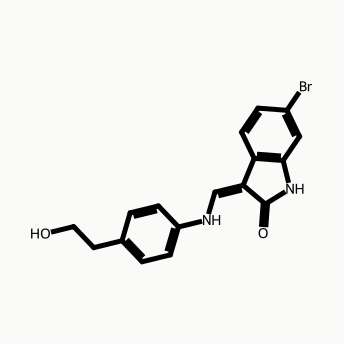 O=C1Nc2cc(Br)ccc2C1=CNc1ccc(CCO)cc1